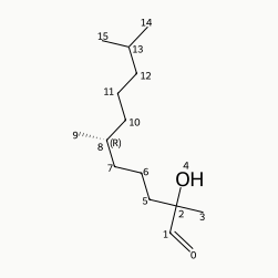 C=CC(C)(O)CCC[C@H](C)CCCC(C)C